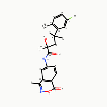 Cc1noc(=O)c2ccc(NC(=O)C(O)(CC(C)(C)c3cc(F)ccc3C(F)(F)F)C(F)(F)F)cc12